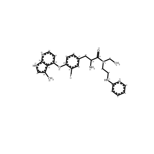 CCN(CCNc1ccccn1)C(=O)C(N)Cc1ccc(Oc2ccnc3[nH]cc(C)c23)c(F)c1